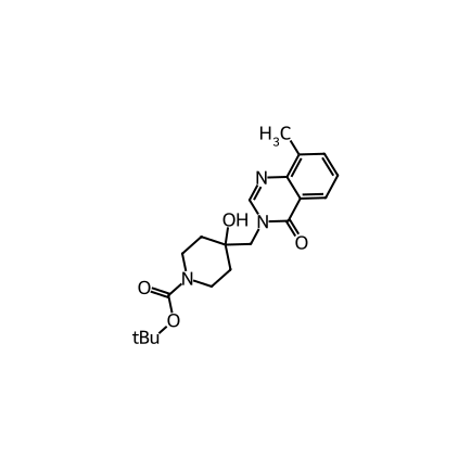 Cc1cccc2c(=O)n(CC3(O)CCN(C(=O)OC(C)(C)C)CC3)cnc12